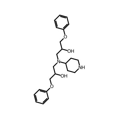 OC(COc1ccccc1)CN(CC(O)COc1ccccc1)C1CCNCC1